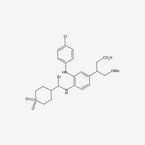 CCC(Nc1ccc(C(COC)CC(=O)O)cc1Nc1ccc(Cl)cc1)C1CCS(=O)(=O)CC1